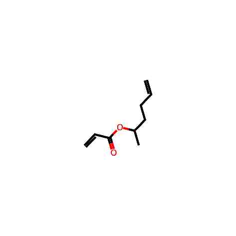 C=CCCC(C)OC(=O)C=C